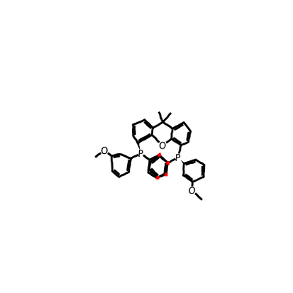 COc1cccc([P@](c2ccccc2)c2cccc3c2Oc2c([P@@](c4ccccc4)c4cccc(OC)c4)cccc2C3(C)C)c1